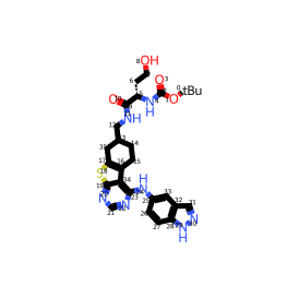 CC(C)(C)OC(=O)N[C@@H](CCO)C(=O)NCC1CCc2c(sc3ncnc(Nc4ccc5[nH]ncc5c4)c23)C1